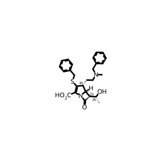 C[C@@H](O)[C@H]1C(=O)N2C(C(=O)O)=C(SCc3ccccc3)[C@H](CCN(C)Cc3ccccc3)[C@H]12